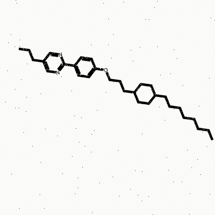 CCCCCCCCC1CCC(CCCOc2ccc(-c3ncc(CCC)cn3)cc2)CC1